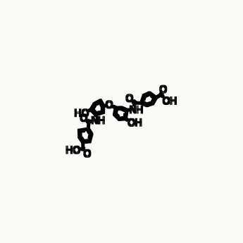 O=C(O)c1ccc(C(=O)Nc2cc(Oc3ccc(O)c(NC(=O)c4ccc(C(=O)O)cc4)c3)ccc2O)cc1